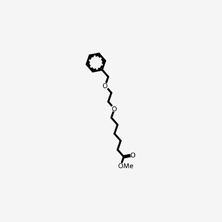 COC(=O)CCCCCOCCOCc1ccccc1